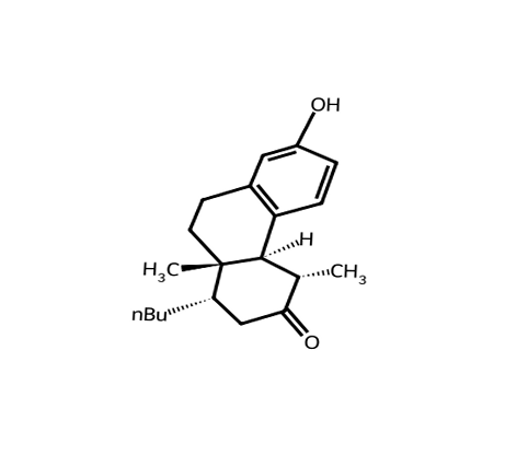 CCCC[C@H]1CC(=O)[C@@H](C)[C@@H]2c3ccc(O)cc3CC[C@@]12C